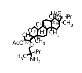 CC(=O)O[C@H](C)[C@H](OC[C@@](C)(N)C(C)C)C1(C)COC[C@@]2(C)C3=CC[C@@]4(C)[C@H](C(C)=O)[C@@](C)([C@H](C)C(C)C)CC[C@]4(C)[C@H]3CC[C@@H]12